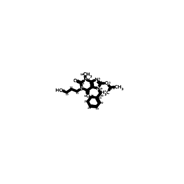 CC(C)Oc1nc2c(c(=O)n(CCCO)c(=O)n2C)n1CC1=CC=CCC1